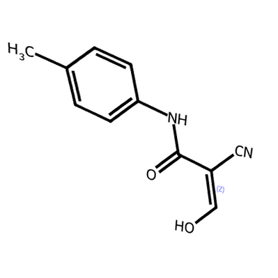 Cc1ccc(NC(=O)/C(C#N)=C\O)cc1